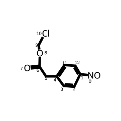 O=Nc1ccc(CC(=O)OCCl)cc1